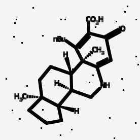 CCCCC1=C(C(=O)O)C(=O)C=C2NC[C@H]3[C@@H]4CCC[C@@]4(C)CC[C@@H]3[C@]21C